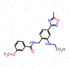 Cc1nc(-c2ccc(CNC(=O)c3cccc(OC(F)(F)F)c3)c(NCC(=O)O)c2)no1